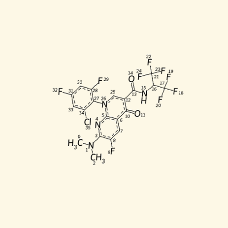 CN(C)c1nc2c(cc1F)c(=O)c(C(=O)NC(C(F)(F)F)C(F)(F)F)cn2-c1c(F)cc(F)cc1Cl